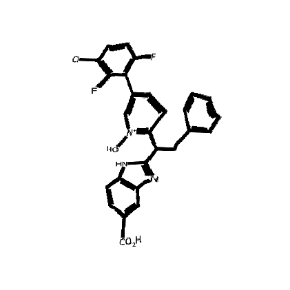 O=C(O)c1ccc2[nH]c(C(Cc3ccccc3)c3ccc(-c4c(F)ccc(Cl)c4F)c[n+]3O)nc2c1